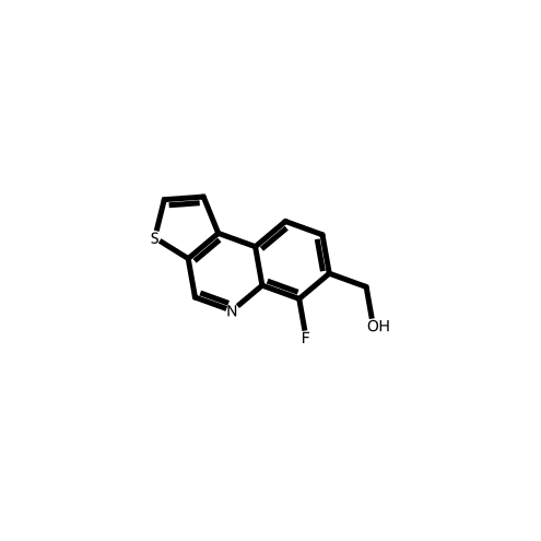 OCc1ccc2c(ncc3sccc32)c1F